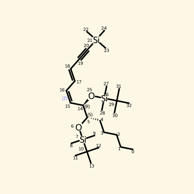 CCCCC[C@H](O[Si](C)(C)C(C)(C)C)[C@@H](/C=C\C=CC#C[Si](C)(C)C)O[Si](C)(C)C(C)(C)C